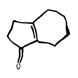 O=C1CCC2=C1CCCC2